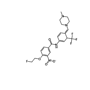 CN1CCN(C=C2C=CC(NC(=O)c3ccc(OCCF)c([N+](=O)[O-])c3)=CC2C(F)(F)F)CC1